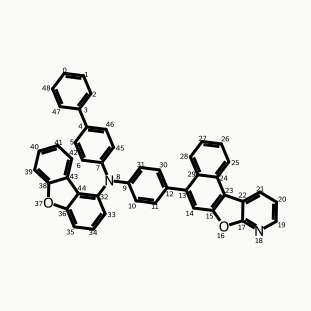 c1ccc(-c2ccc(N(c3ccc(-c4cc5oc6ncccc6c5c5ccccc45)cc3)c3cccc4oc5ccccc5c34)cc2)cc1